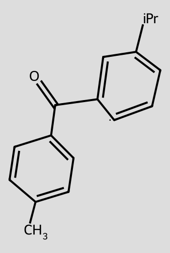 Cc1ccc(C(=O)c2[c]ccc(C(C)C)c2)cc1